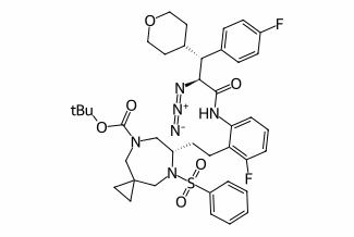 CC(C)(C)OC(=O)N1C[C@H](CCc2c(F)cccc2NC(=O)[C@@H](N=[N+]=[N-])[C@@H](c2ccc(F)cc2)C2CCOCC2)N(S(=O)(=O)c2ccccc2)CC2(CC2)C1